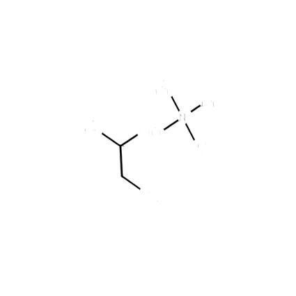 CC(CC(=O)O)C(=O)[O-].CCC[N+](CCC)(CCC)CCC